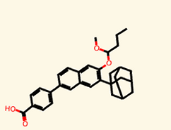 CCCC(OC)Oc1cc2ccc(-c3ccc(C(=O)O)cc3)cc2cc1C12CC3CC(CC(C3)C1)C2